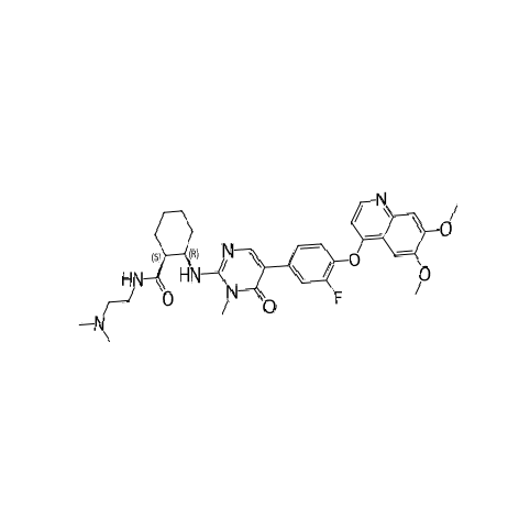 COc1cc2nccc(Oc3ccc(-c4cnc(N[C@@H]5CCCC[C@@H]5C(=O)NCCN(C)C)n(C)c4=O)cc3F)c2cc1OC